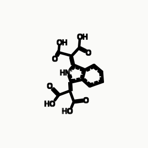 O=C(O)C(C(=O)O)=c1[nH]c(=C(C(=O)O)C(=O)O)c2ccccc12